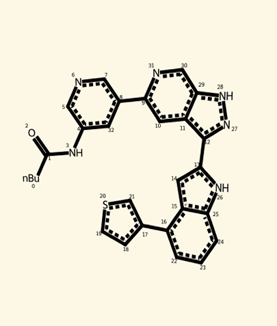 CCCCC(=O)Nc1cncc(-c2cc3c(-c4cc5c(-c6ccsc6)cccc5[nH]4)n[nH]c3cn2)c1